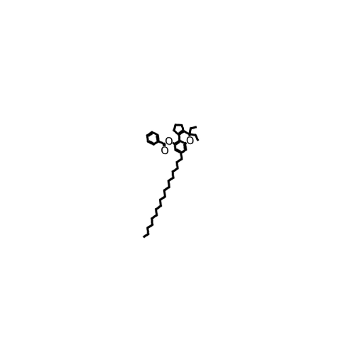 CCCCCCCCCCCCCCCCCCc1cc(OC(=O)c2ccccc2)c2c(c1)OC(CC)(CC)C1=C2CCC1